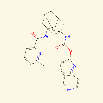 Cc1cccc(C(=O)NC23CC4CC(CC(NC(=O)Oc5ccc6cnccc6n5)(C4)C2)C3)n1